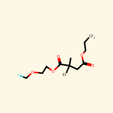 CCC(C)(CC(=O)OCCC(F)(F)F)C(=O)OCCOCF